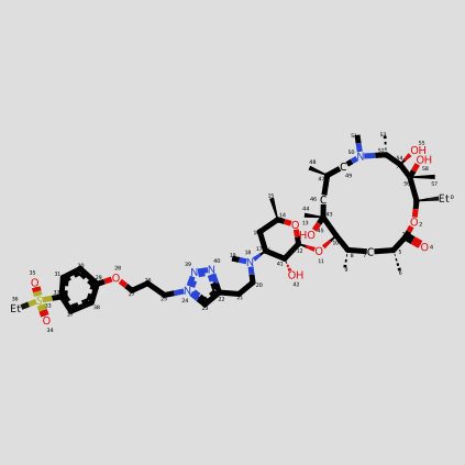 CC[C@H]1OC(=O)[C@H](C)C[C@H](C)[C@@H](O[C@@H]2O[C@H](C)C[C@H](N(C)CCc3cn(CCCOc4ccc(S(=O)(=O)CC)cc4)nn3)[C@H]2O)[C@](C)(O)C[C@@H](C)CN(C)[C@H](C)[C@@H](O)[C@]1(C)O